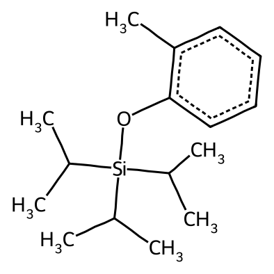 Cc1ccccc1O[Si](C(C)C)(C(C)C)C(C)C